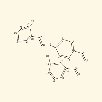 C=Cc1ccc(C)cc1.C=Cc1cccc(C)c1.C=Cc1ccccc1C